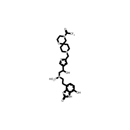 O=C(O)N(CCc1ccc(O)c2[nH]c(=O)sc12)CC(O)c1csc(CN2CCC3(CC2)CN(C(=O)C(F)(F)F)CCO3)c1